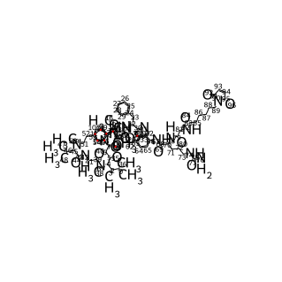 CC[C@H](C)[C@@H]([C@@H](CC(=O)N1CCC[C@H]1[C@H](OC)[C@@H](C)C(=O)N[C@@H](Cc1ccccc1)c1nccs1)OC)N(C)C(=O)CNC(=O)C(C(C)C)N(C)CCc1ccc(N(C)C(=O)OCc2ccc(NC(=O)[C@H](CCCNC(N)=O)NC(=O)CNC(=O)CCCCCN3C(=O)C=CC3=O)cc2)cc1